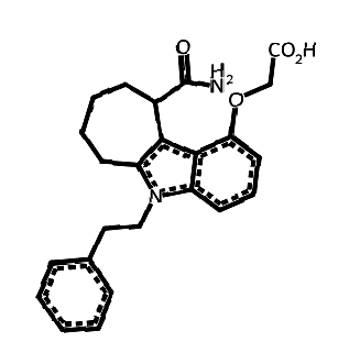 NC(=O)C1CCCCc2c1c1c(OCC(=O)O)cccc1n2CCc1ccccc1